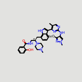 COc1nn(C)cc1Nc1ncc(C)c(-c2c[nH]c3c(C[C@H](CNC(=O)c4ccccc4O)N4CCN(C)CC4)cccc23)n1